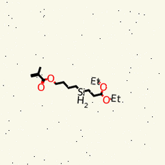 C=C(C)C(=O)OCCCC[SiH2]CCC(OCC)OCC